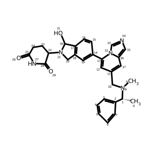 C[C@H](c1ccccc1)N(C)Cc1cc(-c2ccc3c(c2)CN(C2CCC(=O)NC2=O)C3O)n2cncc2c1